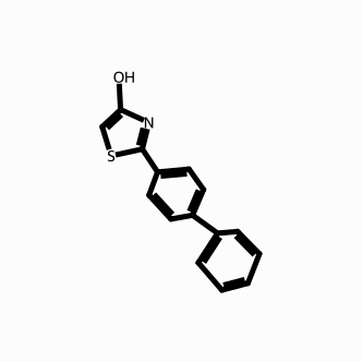 Oc1csc(-c2ccc(-c3ccccc3)cc2)n1